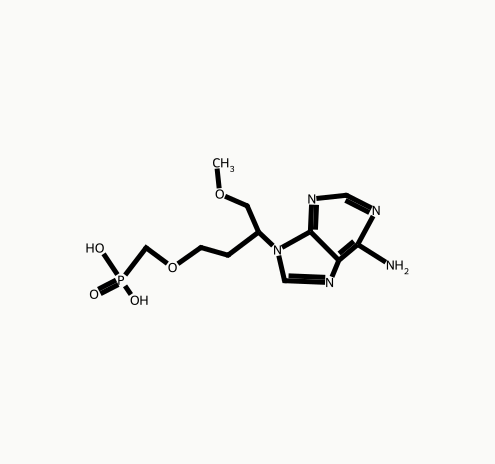 COCC(CCOCP(=O)(O)O)n1cnc2c(N)ncnc21